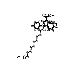 CCCCCCCCCCCC[Si](C=C(C)C(=O)O)(c1ccccc1)c1ccccc1